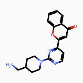 NCC1CCN(c2nccc(-c3cc(=O)c4ccccc4o3)n2)CC1